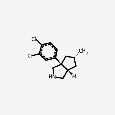 C[C@@H]1C[C@@H]2CNC[C@]2(c2ccc(Cl)c(Cl)c2)C1